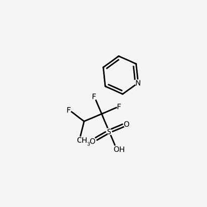 CC(F)C(F)(F)S(=O)(=O)O.c1ccncc1